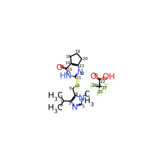 CC(C)c1ncn(C)c1CSc1nc2c(c(=O)[nH]1)CCC2.O=C(O)C(F)(F)F